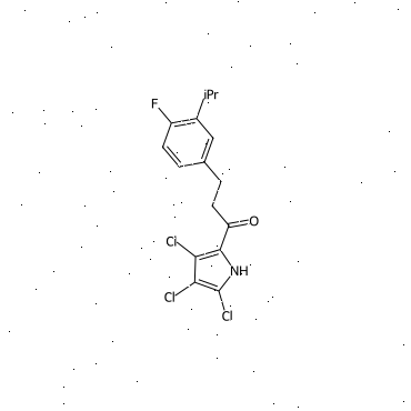 CC(C)c1cc(CCC(=O)c2[nH]c(Cl)c(Cl)c2Cl)ccc1F